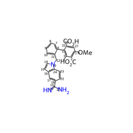 COc1cc(C(=O)O)c(-c2ccccc2Cn2ccc3cc(C(=N)N)ccc32)c(C(=O)O)c1